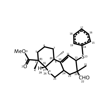 COC(=O)[C@]1(C)CCC[C@@]2(C)C3=CC(Sc4ccccc4)C(C)(C=O)CC3CC[C@H]12